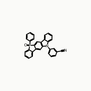 N#Cc1cccc(-n2c3ccccc3c3cc4c(cc32)-c2ccccc2P4(=O)c2ccccc2)c1